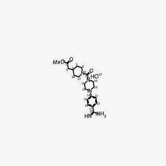 COC(=O)CC1CCN(C(=O)N2CCN(c3ccc(C(=N)N)cc3)CC2)CC1.Cl